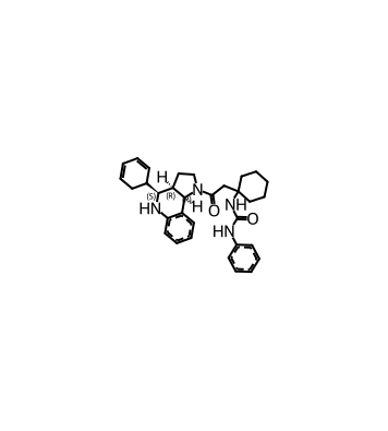 O=C(Nc1ccccc1)NC1(CC(=O)N2CC[C@@H]3[C@H](C4C=CC=CC4)Nc4ccccc4[C@@H]32)CCCCC1